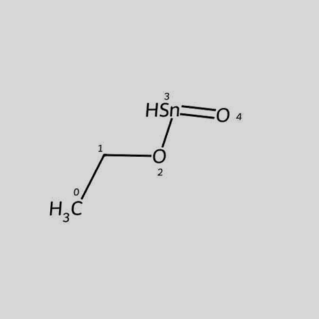 CC[O][SnH]=[O]